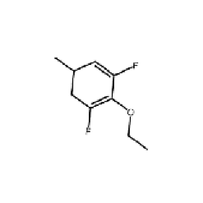 CCOC1=C(F)CC(C)C=C1F